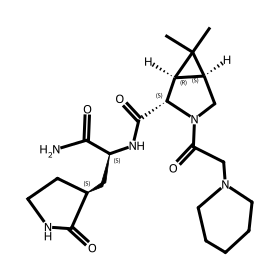 CC1(C)[C@@H]2[C@@H](C(=O)N[C@@H](C[C@@H]3CCNC3=O)C(N)=O)N(C(=O)CN3CCCCC3)C[C@@H]21